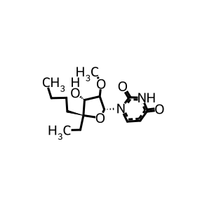 CCCC[C@]1(CC)O[C@@H](n2ccc(=O)[nH]c2=O)C(OC)[C@H]1O